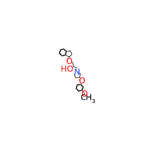 COc1cccc(O[C@@H]2CCN(CC(O)CO[C@@H]3CCc4ccccc43)C2)c1